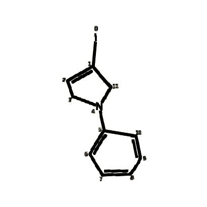 IC1=CCN(c2ccccc2)C1